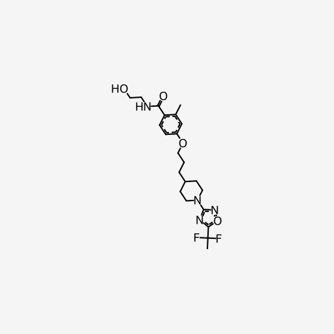 Cc1cc(OCCCC2CCN(c3noc(C(C)(F)F)n3)CC2)ccc1C(=O)NCCO